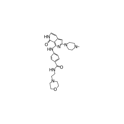 CN1CCN(c2cc3cc[nH]c(=O)c3c(Nc3ccc(C(=O)NCCN4CCOCC4)cc3)n2)CC1